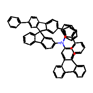 c1ccc(-c2ccc3c(c2)C2(c4ccccc4-c4ccc(N(c5ccc6c7ccccc7c7ccccc7c6c5)c5ccccc5-c5ccccc5)cc42)c2cc(-c4ccccc4)ccc2-3)cc1